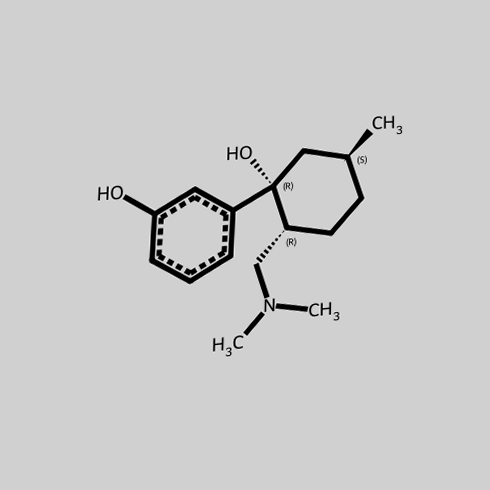 C[C@H]1CC[C@H](CN(C)C)[C@@](O)(c2cccc(O)c2)C1